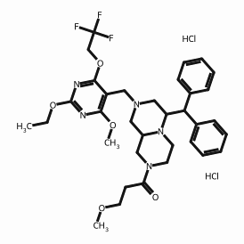 CCOc1nc(OC)c(CN2CC3CN(C(=O)CCOC)CCN3C(C(c3ccccc3)c3ccccc3)C2)c(OCC(F)(F)F)n1.Cl.Cl